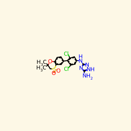 CC1(C)CS(=O)(=O)c2cc(-c3c(Cl)cc(Nc4n[nH]c(N)n4)cc3Cl)ccc2O1